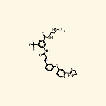 CNCCNC(=O)c1cc(NC(=O)/C=C/c2cccc(Oc3ccnc(C4=NCCN4)c3)c2)cc(C(F)(F)F)c1